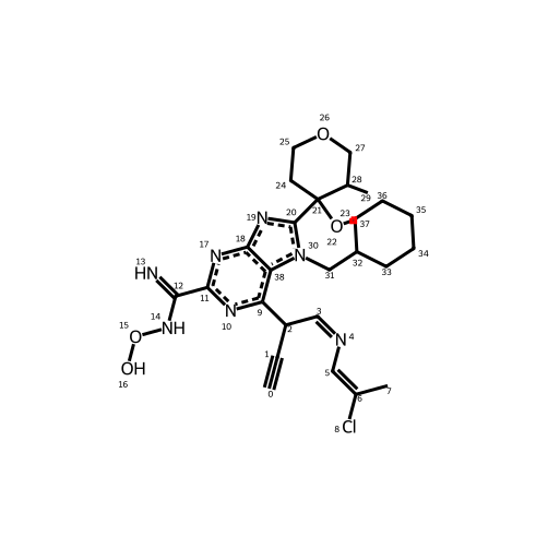 C#CC(/C=N\C=C(/C)Cl)c1nc(C(=N)NOO)nc2nc(C3(OC)CCOCC3C)n(CC3CCCCC3)c12